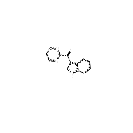 O=C(c1ncccn1)c1c[nH]c2ccccc12